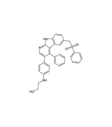 O=S(=O)(Cc1ccc2[nH]c3ncc(-c4ccc(NCCO)cc4)c(-c4ccccc4)c3c2c1)c1ccccc1